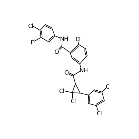 O=C(Nc1ccc(Cl)c(F)c1)c1cc(NC(=O)C2C(c3cc(Cl)cc(Cl)c3)C2(Cl)Cl)ccc1Cl